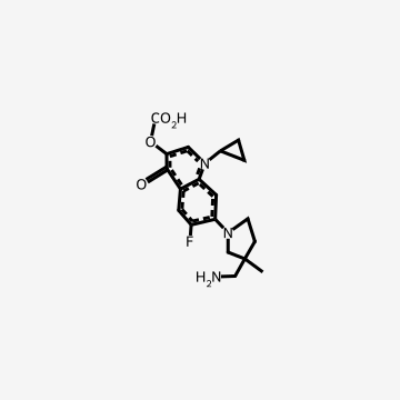 CC1(CN)CCN(c2cc3c(cc2F)c(=O)c(OC(=O)O)cn3C2CC2)C1